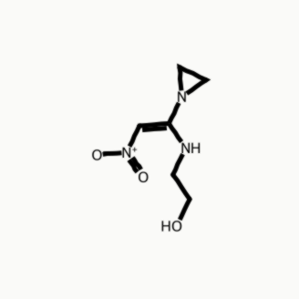 O=[N+]([O-])C=C(NCCO)N1CC1